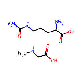 CNCC(=O)O.NC(=O)NCCCC(N)C(=O)O